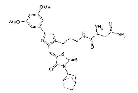 COc1cc(OC)cc(-c2cc(CCCNC(=O)[C@@H](N)CC(N)=O)c(/C=C3\SC(=S)N(C4CC5CCC4C5)C3=O)o2)c1